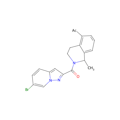 CC(=O)c1cccc2c1CCN(C(=O)c1cc3ccc(Br)cn3n1)C2C